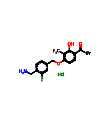 CC(C)C(=O)c1ccc(OCc2ccc(CN)c(F)c2)c(C(F)(F)F)c1O.Cl